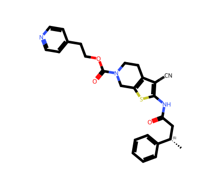 C[C@@H](CC(=O)Nc1sc2c(c1C#N)CCN(C(=O)OCCc1ccncc1)C2)c1ccccc1